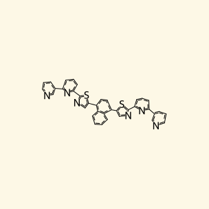 c1cncc(-c2cccc(-c3ncc(-c4ccc(-c5cnc(-c6cccc(-c7cccnc7)n6)s5)c5ccccc45)s3)n2)c1